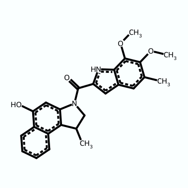 COc1c(C)cc2cc(C(=O)N3CC(C)c4c3cc(O)c3ccccc43)[nH]c2c1OC